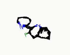 Fc1cc2ccccc2nc1-c1ccccn1